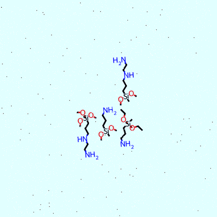 CCO[Si](C)(CCCN)OCC.CO[Si](C)(CCCN)OC.CO[Si](C)(CCCNCCN)OC.CO[Si](CCCNCCN)(OC)OC